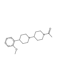 COc1ccccc1C1CCN(C2CCN(C(C)=O)CC2)CC1